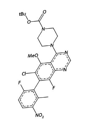 COc1c(Cl)c(-c2c(F)ccc([N+](=O)[O-])c2C)c(F)c2ncnc(N3CCN(C(=O)OC(C)(C)C)CC3)c12